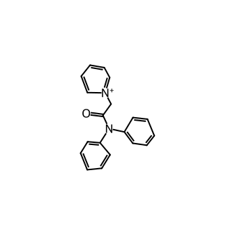 O=C(C[n+]1ccccc1)N(c1ccccc1)c1ccccc1